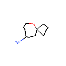 NC1CCOC2(CCC2)C1